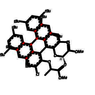 COC(=O)C(C)Oc1c(Cl)ccc(P(c2cc(C(C)(C)C)cc(C(C)(C)C)c2)c2cc(C(C)(C)C)cc(C(C)(C)C)c2)c1-c1c(P(c2cc(C(C)(C)C)cc(C(C)(C)C)c2)c2cc(C(C)(C)C)cc(C(C)(C)C)c2)ccc(Cl)c1O[C@@H](C)C(=O)OC